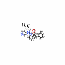 CCCN(c1ccncc1)N1C(=O)C2(Cc3ccccc3C2)c2ccccc21